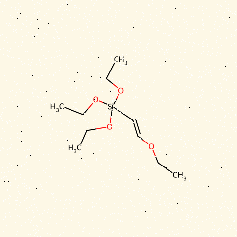 CCOC=C[Si](OCC)(OCC)OCC